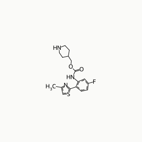 Cc1csc(-c2ccc(F)cc2NC(=O)OCC2CCNCC2)n1